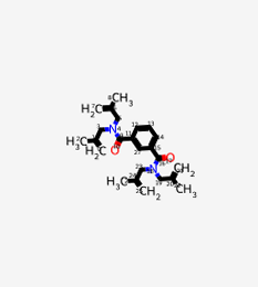 C=C(C)CN(CC(=C)C)C(=O)c1cccc(C(=O)N(CC(=C)C)CC(=C)C)c1